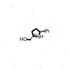 CC(C)[C@@H]1CC[C@H](CO)N1